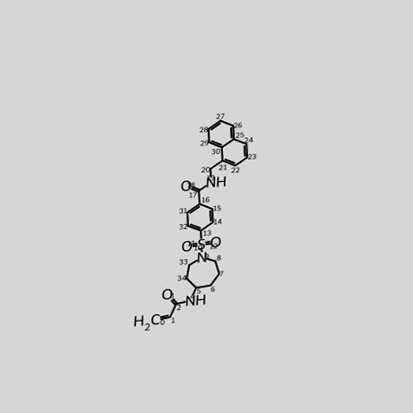 C=CC(=O)NC1CCCN(S(=O)(=O)c2ccc(C(=O)NCc3cccc4ccccc34)cc2)CC1